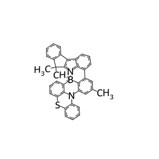 Cc1cc2c3c(c1)N1c4ccccc4Sc4cccc(c41)B3n1c3c(c4cccc-2c41)-c1ccccc1C3(C)C